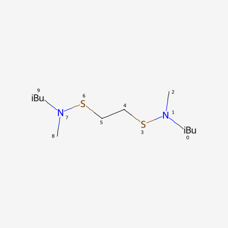 CCC(C)N(C)SCCSN(C)C(C)CC